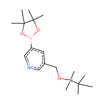 CC1(C)OB(c2cncc(CO[Si](C)(C)C(C)(C)C)c2)OC1(C)C